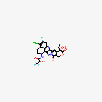 CC[C@@]1(O)C(=O)OCc2c1cc1n(c2=O)Cc2c-1nc1cc(F)c(Cl)c3c1c2[C@@H](NC(=O)C(O)C(F)(F)F)CC3